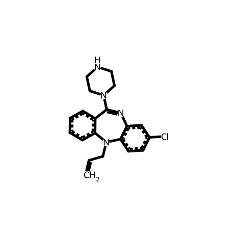 C=CCN1c2ccc(Cl)cc2N=C(N2CCNCC2)c2ccccc21